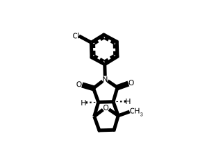 CC12CCC(O1)[C@H]1C(=O)N(c3cccc(Cl)c3)C(=O)[C@H]12